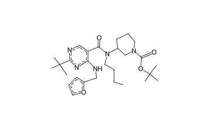 CCCCN(C(=O)c1cnc(C(C)(C)C)nc1NCc1ccco1)C1CCCN(C(=O)OC(C)(C)C)C1